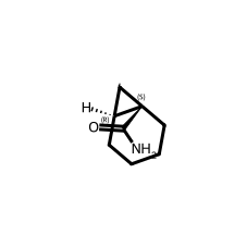 NC(=O)[C@]12[CH][C@@H]1CCCC2